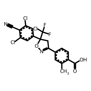 Cc1cc(C2=NOC(c3cc(Cl)c(C#N)c(Cl)c3)(C(F)(F)Cl)C2)ccc1C(=O)O